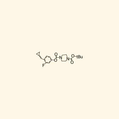 CC(C)(C)OC(=O)N1CCN(C(=O)Oc2ccc(C=C3CC3)c(F)c2)CC1